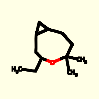 CCC1CC2CC2CCC(C)(C)O1